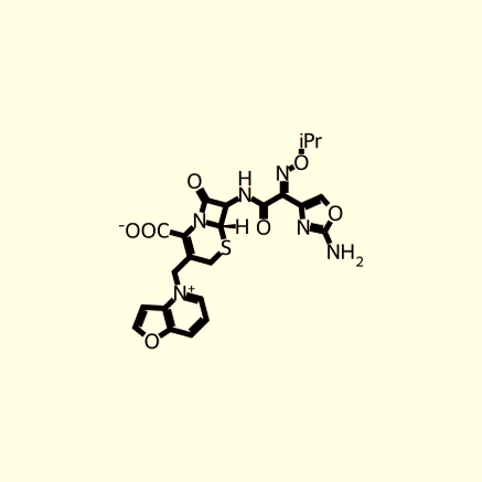 CC(C)ON=C(C(=O)NC1C(=O)N2C(C(=O)[O-])=C(C[n+]3cccc4occc43)CS[C@@H]12)c1coc(N)n1